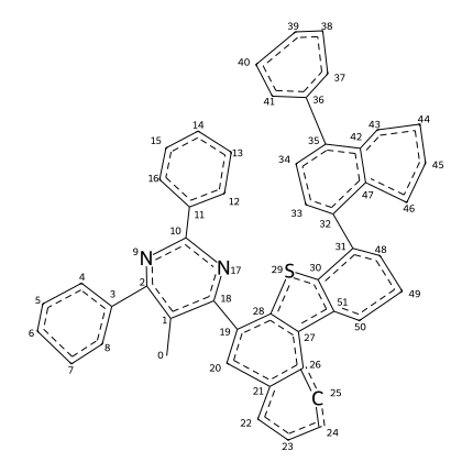 Cc1c(-c2ccccc2)nc(-c2ccccc2)nc1-c1cc2ccccc2c2c1sc1c(-c3ccc(-c4ccccc4)c4ccccc34)cccc12